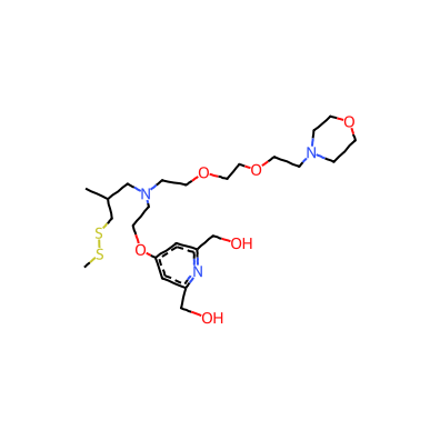 CSSCC(C)CN(CCOCCOCCN1CCOCC1)CCOc1cc(CO)nc(CO)c1